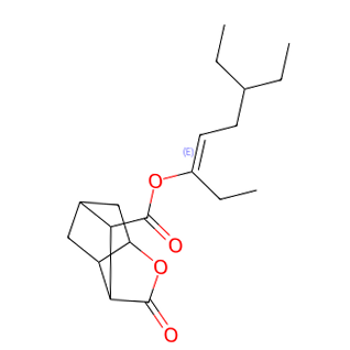 CC/C(=C\CC(CC)CC)OC(=O)C1C2CC3OC(=O)C1C3C2